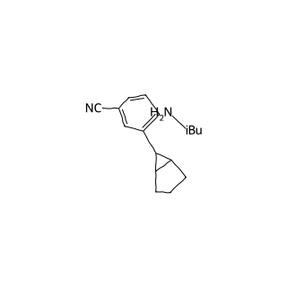 CCC(C)N.N#Cc1cccc(C2C3CCCC32)c1